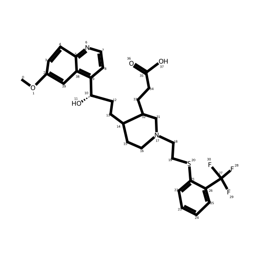 COc1ccc2nccc([C@@H](O)CCC3CCN(CCSc4ccccc4C(F)(F)F)CC3CCC(=O)O)c2c1